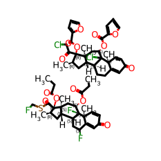 CCC(=O)O[C@H]1C[C@@]2(C)[C@@H](C[C@@H](C)[C@]2(OC(=O)CC)C(=O)SCF)[C@@H]2C[C@H](F)C3=CC(=O)C=C[C@]3(C)[C@@]12F.C[C@@H]1C[C@H]2[C@@H]3CCC4=CC(=O)C=C[C@]4(C)C3(Cl)[C@@H](OC(=O)c3ccco3)C[C@]2(C)[C@@]1(OC(=O)c1ccco1)C(=O)CCl